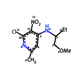 CCC(COC)Nc1cc(C)nc(Cl)c1[N+](=O)[O-]